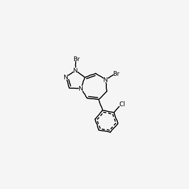 Clc1ccccc1C1=CN2C=NN(Br)C2=CN(Br)C1